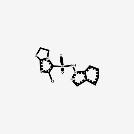 O=S(=O)(Nn1ncc2ccccc21)c1c(Cl)nc2n1CCS2